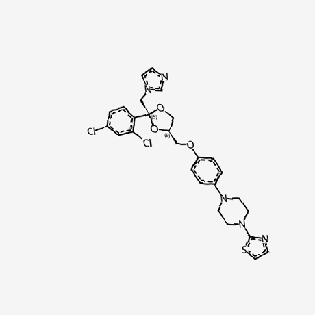 Clc1ccc([C@]2(Cn3ccnc3)OC[C@@H](COc3ccc(N4CCN(c5nccs5)CC4)cc3)O2)c(Cl)c1